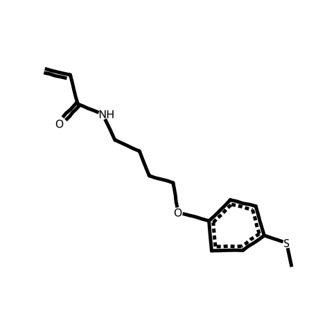 C=CC(=O)NCCCCOc1ccc(SC)cc1